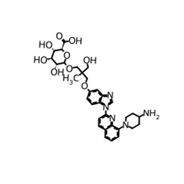 CC(CO)(COc1ccc2c(c1)ncn2-c1ccc2cccc(N3CCC(N)CC3)c2n1)COC1O[C@H](C(=O)O)[C@@H](O)[C@H](O)[C@H]1O